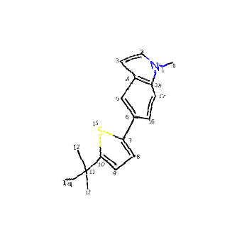 Cn1ccc2cc(-c3ccc(C(C)(C)C)s3)ccc21